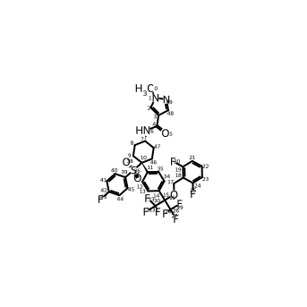 Cn1cc(C(=O)N[C@H]2CC[C@@](c3ccc(C(OCc4c(F)cccc4F)(C(F)(F)F)C(F)(F)F)cc3)(S(=O)(=O)c3ccc(F)cc3)CC2)cn1